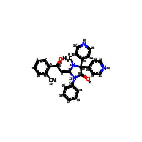 CN1C(=CC(=O)c2ccccc2C#N)N(c2ccccc2)C(=O)C1(c1ccncc1)c1ccncc1